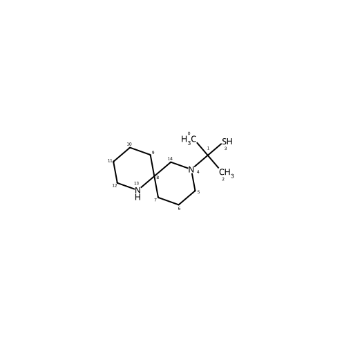 CC(C)(S)N1CCCC2(CCCCN2)C1